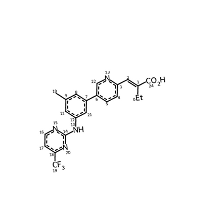 CC/C(=C\c1ccc(-c2cc(C)cc(Nc3nccc(C(F)(F)F)n3)c2)cn1)C(=O)O